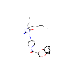 CCCCC1(CCCC)NC(=N)N(C2CCN(C(=O)C3COc4ccccc4O3)CC2)C1=O